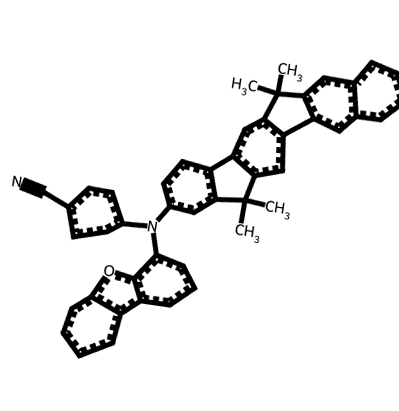 CC1(C)c2cc(N(c3ccc(C#N)cc3)c3cccc4c3oc3ccccc34)ccc2-c2cc3c(cc21)-c1cc2ccccc2cc1C3(C)C